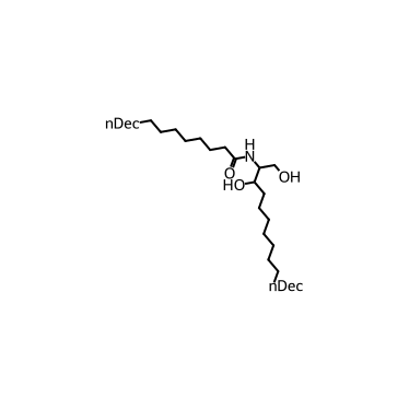 CCCCCCCCCCCCCCCCCC(=O)NC(CO)C(O)CCCCCCCCCCCCCCCCC